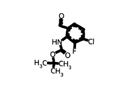 CC(C)(C)OC(=O)Nc1c(C=O)ccc(Cl)c1F